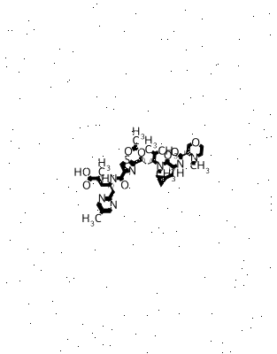 CC(=O)O[C@H](C[C@H](C(C)C)N(C)C(=O)[C@H](CC1CC1)NC(=O)[C@H]1COCCN1C)c1nc(C(=O)N[C@@H](Cc2ncc(C)cn2)C[C@H](C)C(=O)O)cs1